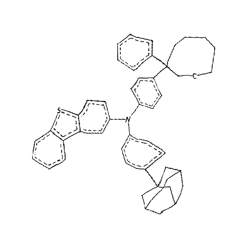 c1ccc(C2(c3ccc(N(c4ccc(C56CC7CC(CC(C7)C5)C6)cc4)c4ccc5sc6ccccc6c5c4)cc3)CCCCCCC2)cc1